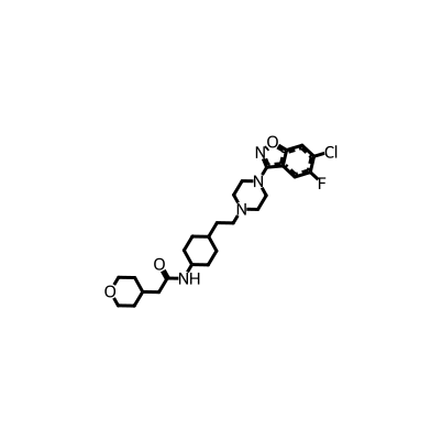 O=C(CC1CCOCC1)NC1CCC(CCN2CCN(c3noc4cc(Cl)c(F)cc34)CC2)CC1